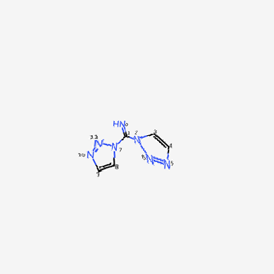 N=C(n1ccnn1)n1ccnn1